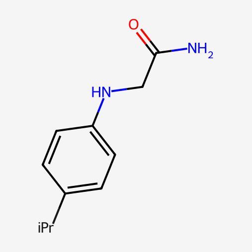 CC(C)c1ccc(NCC(N)=O)cc1